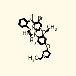 CCOc1cc(OC2CCN(CC)C2)ccc1Nc1ncc(Br)c(Nc2ccccc2SNC)n1